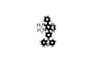 Nc1c(N)c(-c2ccc(N3c4ccccc4Oc4ccccc43)cc2)c2nccnc2c1-c1ccccc1